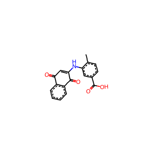 Cc1ccc(C(=O)O)cc1NC1=CC(=O)c2ccccc2C1=O